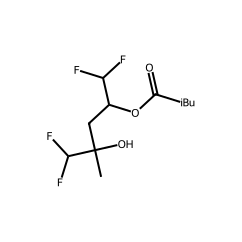 CCC(C)C(=O)OC(CC(C)(O)C(F)F)C(F)F